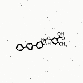 Cc1ccc(Oc2nc3cc(-c4ccc(-c5ccccc5)cc4)ccc3[nH]2)cc1C(=O)O